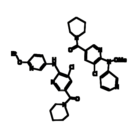 CCOc1ccc(Nc2ncc(C(=O)N3CCCCC3)cc2Cl)cn1.CON(c1cccnc1)c1ncc(C(=O)N2CCCCC2)cc1Cl